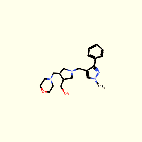 Cn1cc(CN2CC(CO)C(CN3CCOCC3)C2)c(-c2ccccc2)n1